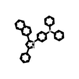 c1ccc(-c2cc(-c3ccc4ccccc4c3)n(-c3ccc(N(c4ccccc4)c4ccccc4)cc3)n2)cc1